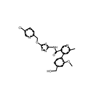 COc1cc(CO)ccc1-c1cc(C)ncc1C(=O)Nc1nnc(OCc2ccc(Cl)cn2)s1